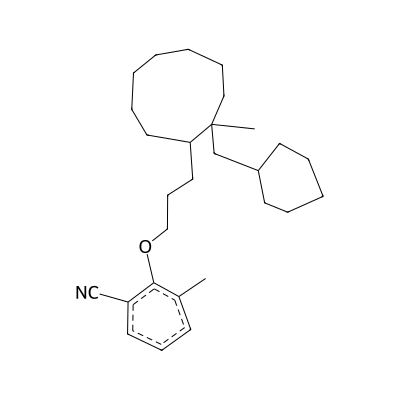 Cc1cccc(C#N)c1OCCCC1CCCCCCCC1(C)CC1CCCCC1